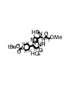 COCC(=O)N/C(=N/O)c1cnn2c(C3CCN(C(=O)OC(C)(C)C)CC3)cc(=O)[nH]c12.Cl